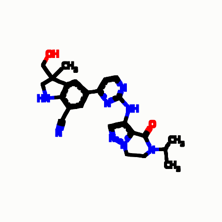 CC(C)N1CCn2ncc(Nc3nccc(-c4cc(C#N)c5c(c4)C(C)(CO)CN5)n3)c2C1=O